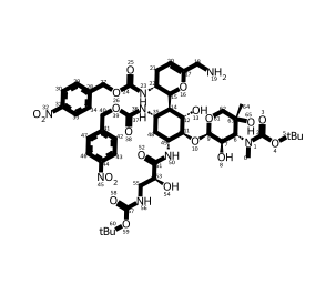 CN(C(=O)OC(C)(C)C)[C@@H]1[C@@H](O)[C@@H](O[C@@H]2[C@@H](O)[C@H](C3OC(CN)=CC[C@H]3NC(=O)OCc3ccc([N+](=O)[O-])cc3)[C@@H](NC(=O)OCc3ccc([N+](=O)[O-])cc3)C[C@H]2NC(=O)[C@@H](O)CNC(=O)OC(C)(C)C)OC[C@]1(C)O